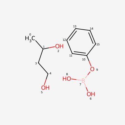 CC(O)CCO.OB(O)Oc1ccccc1